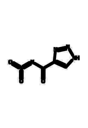 O=C(N=S(=O)=O)c1c[nH]nn1